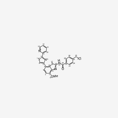 COc1ccc(-c2csc(-c3ccccn3)n2)c2sc(NC(=O)c3ccc(CCl)cc3)nc12